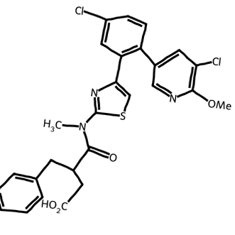 COc1ncc(-c2ccc(Cl)cc2-c2csc(N(C)C(=O)C(CC(=O)O)Cc3ccccc3)n2)cc1Cl